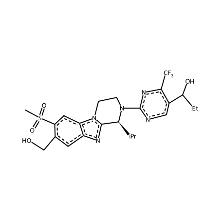 CCC(O)c1cnc(N2CCn3c(nc4cc(CO)c(S(C)(=O)=O)cc43)[C@@H]2C(C)C)nc1C(F)(F)F